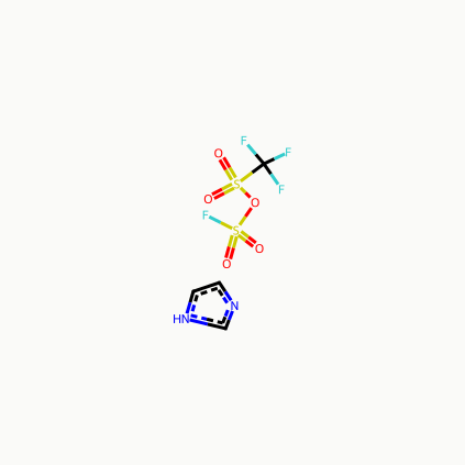 O=S(=O)(F)OS(=O)(=O)C(F)(F)F.c1c[nH]cn1